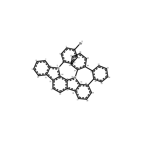 Brc1ccc(-n2c3ccccc3c3ccc4c5cccc6c5n(c4c32)-c2ccccc2-c2ccccc2-6)cc1